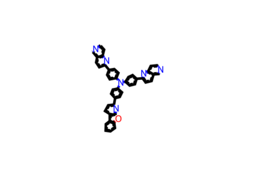 c1ccc2c(c1)oc1nc(-c3ccc(N(c4ccc(-c5ccc6cnccc6n5)cc4)c4ccc(-c5ccc6cnccc6n5)cc4)cc3)ccc12